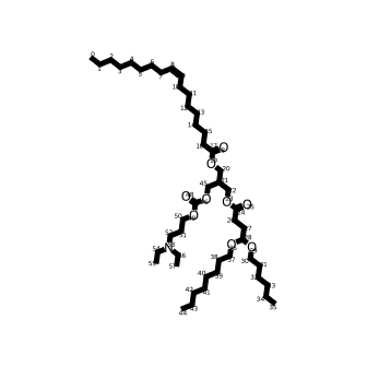 CCCCCCCC/C=C\CCCCCCCC(=O)OCC(COC(=O)CCC(OCCCCCC)OCCCCCCCC)COC(=O)OCCCN(CC)CC